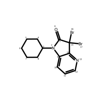 O=C1N(C2CCCCC2)c2cccnc2C1(Br)Br